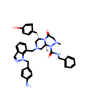 CN1CC(=O)N2[C@@H](Cc3ccc(O)cc3)CN(Cc3cccc4cnn(Cc5ccc(N)cc5)c34)C[C@@H]2N1C(=O)NCc1ccccc1